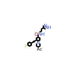 CC(=O)C1CCN(c2ccc(C(=O)NCCCc3cn[nH]c3)cc2C#Cc2ccc(F)cc2)CC1